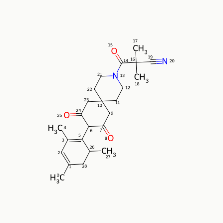 CC1=CC(C)=C(C2C(=O)CC3(CCN(C(=O)C(C)(C)C#N)CC3)CC2=O)C(C)C1